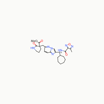 COC(=O)C1(Cc2ccc3nc([C@@H](NC(=O)c4nonc4C)C4CCCCCC4)cn3n2)CCCNC1=O